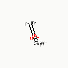 CC(C)CCCCCCCCOC(=O)C1CC(C(=O)O)C(C(=O)O)CC1C(=O)OCCCCCCCCC(C)C